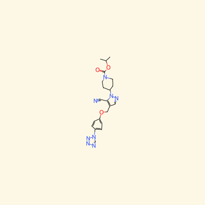 CC(C)OC(=O)N1CCC(n2ncc(COc3ccc(-n4cnnn4)cc3)c2C#N)CC1